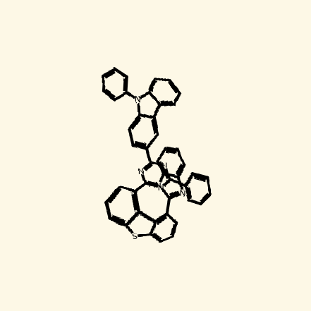 c1ccc(-c2nc(-c3ccc4c(c3)c3ccccc3n4-c3ccccc3)nc(-c3cccc4sc5cccc(-c6nc7ccccc7[nH]6)c5c34)n2)cc1